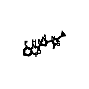 Cc1sc(C2CC2)nc1-c1cc(C(=O)Nc2c(F)cccc2F)nn1C